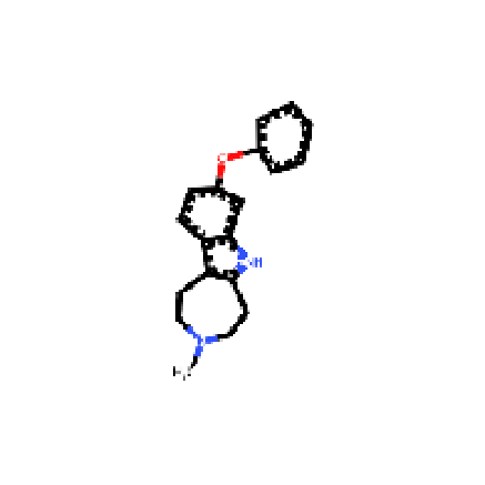 CN1CCc2[nH]c3cc(Oc4ccccc4)ccc3c2CC1